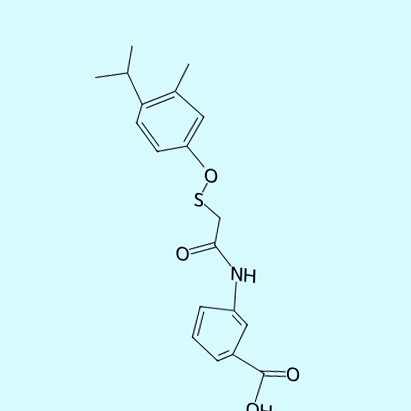 Cc1cc(OSCC(=O)Nc2cccc(C(=O)O)c2)ccc1C(C)C